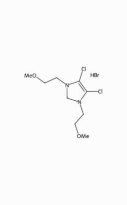 Br.COCCN1CN(CCOC)C(Cl)=C1Cl